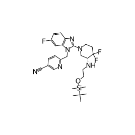 CC(C)(C)[Si](C)(C)OCCN[C@@H]1CN(c2nc3ccc(F)cc3n2Cc2ccc(C#N)cn2)CCC1(F)F